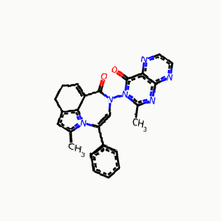 Cc1cc2c3n1C(c1ccccc1)=CN(n1c(C)nc4nccnc4c1=O)C(=O)C3=CCC2